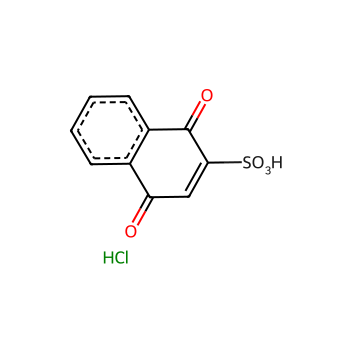 Cl.O=C1C=C(S(=O)(=O)O)C(=O)c2ccccc21